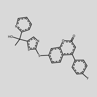 CC(O)(c1ccccn1)c1cnc(Sc2ccc3c(-c4ccc(F)cc4)cc(=O)oc3c2)s1